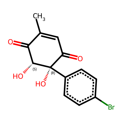 CC1=CC(=O)[C@@](O)(c2ccc(Br)cc2)[C@H](O)C1=O